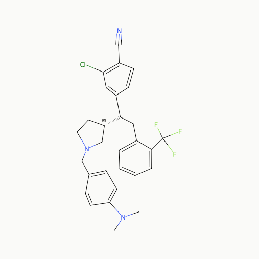 CN(C)c1ccc(CN2CC[C@H](C(Cc3ccccc3C(F)(F)F)c3ccc(C#N)c(Cl)c3)C2)cc1